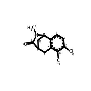 CN1C(=O)C2Cc3c(ccc(Cl)c3Cl)C1C2